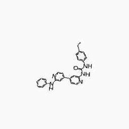 CCc1ccc(NC(=O)Nc2cc(-c3ccnc(Nc4ccccc4)c3)ccn2)cc1